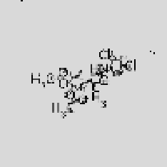 CC(=O)Oc1ccc(C(C)CC(=O)Nc2ccc(Cl)cc2Cl)cc1OC(C)=O